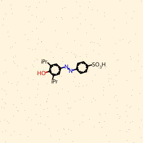 CC(C)c1cc(/N=N/c2ccc(S(=O)(=O)O)cc2)cc(C(C)C)c1O